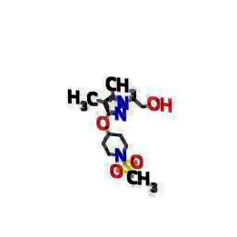 Cc1c(OC2CCN(S(C)(=O)=O)CC2)nn(CCO)c1C